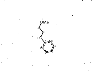 COCCOc1ncccn1